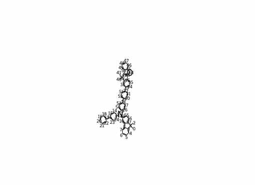 CC1(C)c2ccccc2-c2cc(N(c3ccc(-c4ccccc4)cc3)c3ccc(-c4ccc(-c5ccc6c(c5)C(C)(C)c5c-6oc6ccccc56)cc4)cc3)ccc21